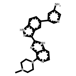 CN1CCN(c2nccc3[nH]c(-c4n[nH]c5ccc(-c6cncc(N)c6)cc45)nc23)CC1